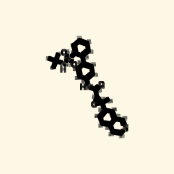 CC(C)(C)NS(=O)(=O)c1ccccc1-c1ccc(NC(=O)C2OC2(C)c2ccc3ccncc3c2)cc1